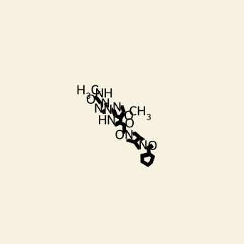 CNC(=O)c1ncn(-c2ncc(OC)c3c(C(=O)C(=O)N4CC5CN(C(=O)C6=CCCCC6)CC5C4)c[nH]c23)n1